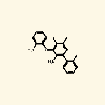 Cc1ccccc1-c1cc(C)c(C)c(Oc2ccccc2N)c1N